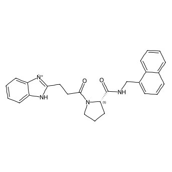 O=C(NCc1cccc2ccccc12)[C@@H]1CCCN1C(=O)CCC1=[N+]c2ccccc2N1